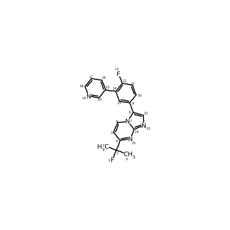 CC(C)(F)c1ccn2c(-c3ccc(F)c(-c4cccnc4)c3)cnc2n1